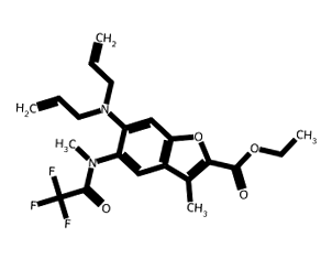 C=CCN(CC=C)c1cc2oc(C(=O)OCC)c(C)c2cc1N(C)C(=O)C(F)(F)F